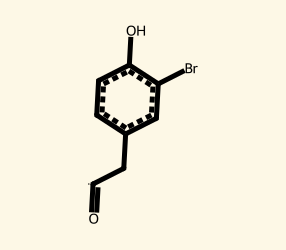 O=[C]Cc1ccc(O)c(Br)c1